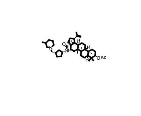 C=C(C)[C@@H]1CC[C@]2(C(=O)N[C@@H]3CC[C@H](CN4CCCC(C)C4)C3)CC[C@]3(C)[C@H](CC[C@@H]4[C@@]5(C)CC[C@H](OC(C)=O)C(C)(C)[C@@H]5CC[C@]43C)[C@@H]12